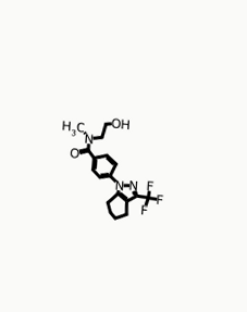 CN(CCO)C(=O)c1ccc(-n2nc(C(F)(F)F)c3c2CCCC3)cc1